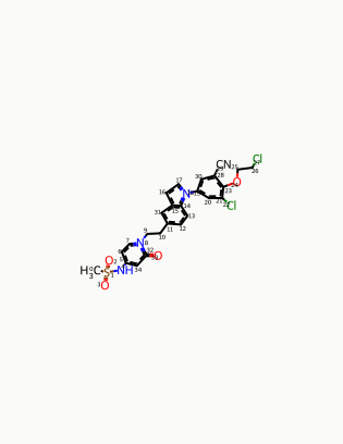 CS(=O)(=O)Nc1ccn(CCc2ccc3c(ccn3-c3cc(Cl)c(OCCCl)c(C#N)c3)c2)c(=O)c1